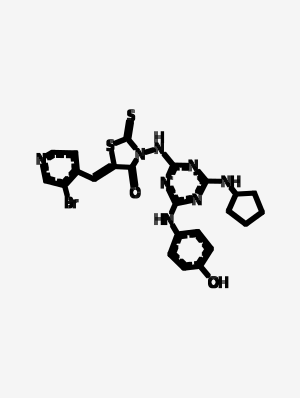 O=C1/C(=C/c2ccncc2Br)SC(=S)N1Nc1nc(Nc2ccc(O)cc2)nc(NC2CCCC2)n1